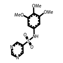 COc1cc(NS(=O)(=O)c2cncnc2)cc(OC)c1OC